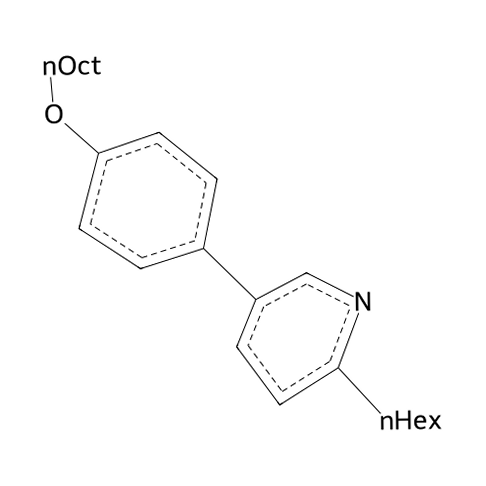 CCCCCCCCOc1ccc(-c2ccc(CCCCCC)nc2)cc1